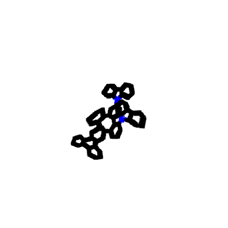 c1ccc2c(c1)-c1cc3c4ccccc4c4ccccc4c3cc1-c1cccc(-n3c4ccccc4c4ccccc43)c1-c1ccc(-n3c4ccccc4c4ccccc43)cc1-2